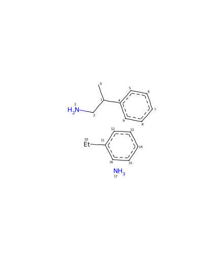 CC(CN)c1ccccc1.CCc1ccccc1.N